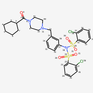 O=C(C1CCCCC1)N1CCN(Cc2cccc(N(S(=O)(=O)c3ccccc3Cl)S(=O)(=O)c3ccccc3Cl)c2)CC1